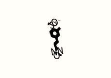 Cc1cc(C=Cc2ncon2)ccc1[S+](C)[O-]